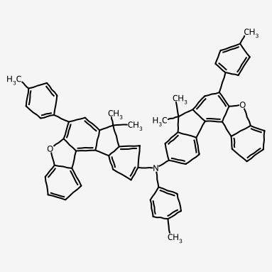 Cc1ccc(-c2cc3c(c4c2oc2ccccc24)-c2ccc(N(c4ccc(C)cc4)c4ccc5c(c4)C(C)(C)c4cc(-c6ccc(C)cc6)c6oc7ccccc7c6c4-5)cc2C3(C)C)cc1